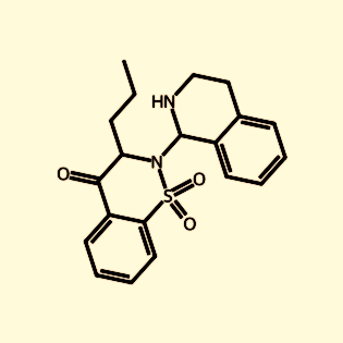 CCCC1C(=O)c2ccccc2S(=O)(=O)N1C1NCCc2ccccc21